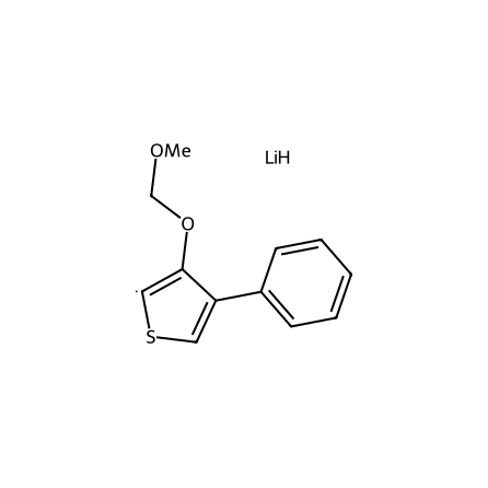 COCOc1[c]scc1-c1ccccc1.[LiH]